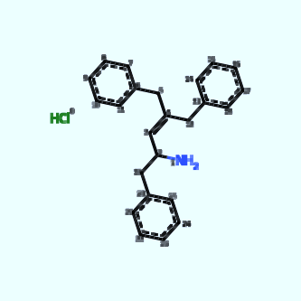 Cl.NC(C=C(Cc1ccccc1)Cc1ccccc1)Cc1ccccc1